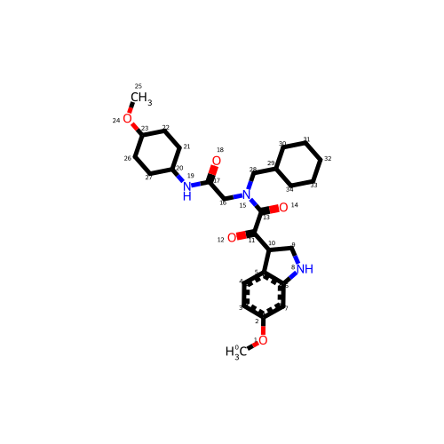 COc1ccc2c(c1)NCC2C(=O)C(=O)N(CC(=O)NC1CCC(OC)CC1)CC1CCCCC1